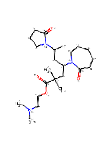 CCC(CC(CC(C)(C)C(=O)OCCN(C)C)N1CCCCCC1=O)N1CCCC1=O